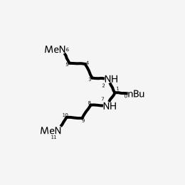 CCCCC(NCCC[15NH]C)NCCC[15NH]C